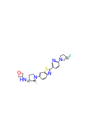 C[C@@H]1C[C@H](NC2COC2)CCN1c1ccc2nc(-c3ccc(N4CC[C@@H](F)C4)nc3)sc2c1